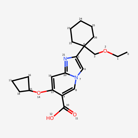 CCOCC1(c2cn3cc(C(=O)O)c(OC4CCC4)cc3n2)CCCCC1